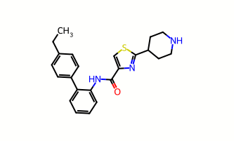 CCc1ccc(-c2ccccc2NC(=O)c2csc(C3CCNCC3)n2)cc1